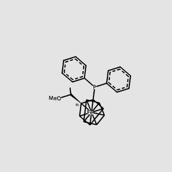 COC(C)[C@@]12[CH]3[CH]4[CH]5[C]1(P(c1ccccc1)c1ccccc1)[Fe]45321678[CH]2[CH]1[CH]6[CH]7[CH]28